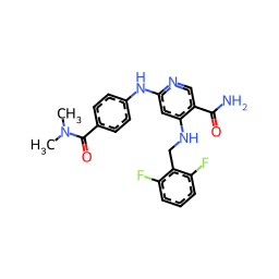 CN(C)C(=O)c1ccc(Nc2cc(NCc3c(F)cccc3F)c(C(N)=O)cn2)cc1